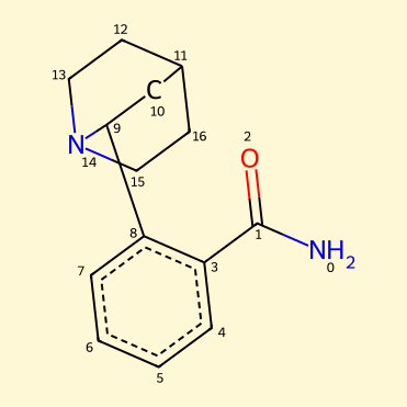 NC(=O)c1ccccc1C1CC2CCN1CC2